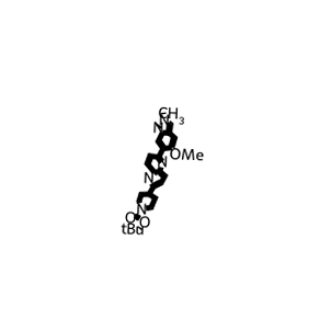 COc1cc2cn(C)nc2cc1-c1ccc2nc(C3CCN(C(=O)OC(C)(C)C)CC3)ccc2n1